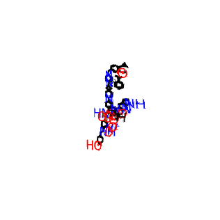 COc1cc(CN2CCN(C3CC4(CCN(c5ccc(C(=O)NS(=O)(=O)c6ccc(NCC7CCC(C)(O)CC7)c([N+](=O)[O-])c6)c(N6c7cc8cc[nH]c8nc7O[C@H]7COCC[C@@H]76)c5)CC4)C3)[C@H](c3ccccc3C(C)C)C2)ccc1C1CC1